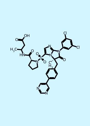 CC(CC(=O)O)NC(=O)[C@@H]1CCCN1S(=O)(=O)c1cnc2n1[C@](C)(Cc1ccc(-c3cncnc3)cc1)C(=O)N2c1cc(Cl)cc(Cl)c1